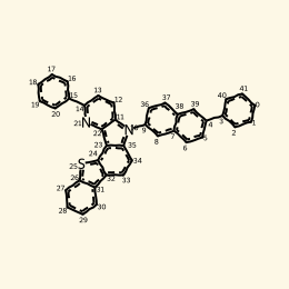 c1ccc(-c2ccc3cc(-n4c5ccc(-c6ccccc6)nc5c5c6sc7ccccc7c6ccc54)ccc3c2)cc1